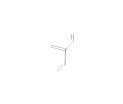 S=[C]C(=S)[C]=S